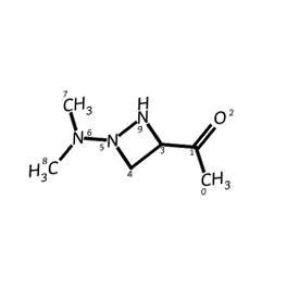 CC(=O)C1CN(N(C)C)N1